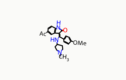 COc1ccc(C(NC2CCN(C)CC2)=C2C(=O)Nc3ccc(C(C)=O)cc32)cc1